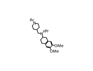 CCCN(CC1CCN(C(C)=O)CC1)C1CCc2cc(OC)c(OC)cc2C1